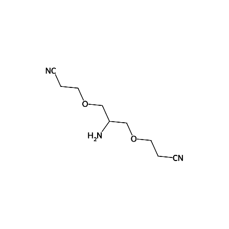 N#CCCOCC(N)COCCC#N